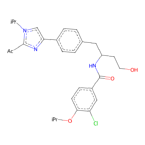 CC(=O)c1nc(-c2ccc(CC(CCO)NC(=O)c3ccc(OC(C)C)c(Cl)c3)cc2)cn1C(C)C